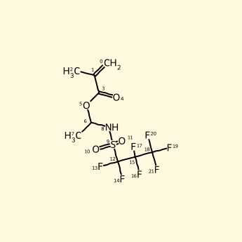 C=C(C)C(=O)OC(C)NS(=O)(=O)C(F)(F)C(F)(F)C(F)(F)F